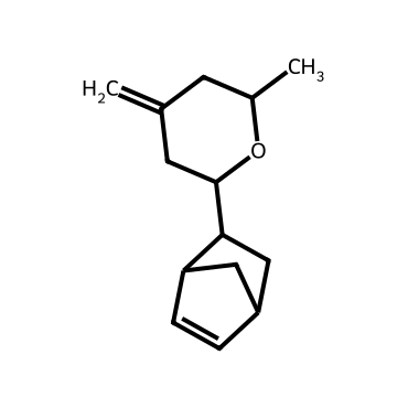 C=C1CC(C)OC(C2CC3C=CC2C3)C1